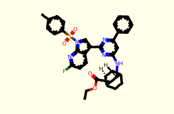 CCOC(=O)[C@@H]1C2CCC(CC2)[C@H]1Nc1cc(-c2ccccc2)nc(-c2cn(S(=O)(=O)c3ccc(C)cc3)c3nc(F)ccc23)n1